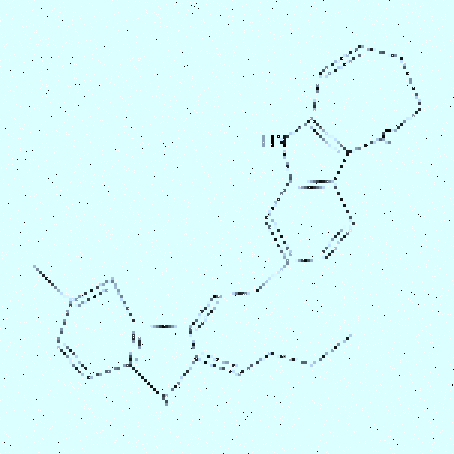 CCC/C=c1/sc2ccc(C)cc2/c1=C/Cc1ccc2c3c([nH]c2c1)C=CCCC3